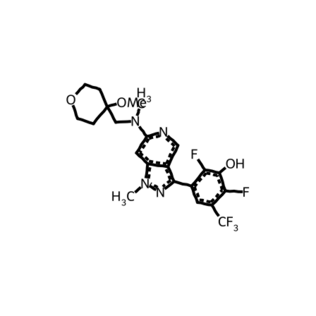 COC1(CN(C)c2cc3c(cn2)c(-c2cc(C(F)(F)F)c(F)c(O)c2F)nn3C)CCOCC1